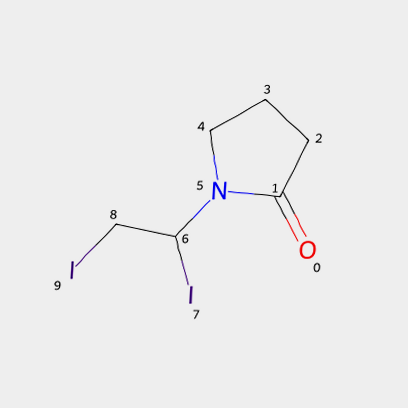 O=C1CCCN1C(I)CI